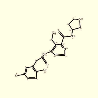 O=C(Cc1cc(Cl)ccc1O)Nc1ccnc(C(=O)NC2CCOC2)c1CO